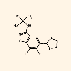 CC(C)(O)Nc1noc2c(F)c(F)c(C3OCCO3)cc12